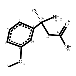 COc1cccc([C@@](C)(N)CC(=O)O)c1